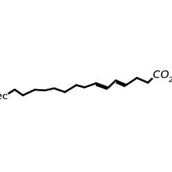 CCCCCCCCCCCCCCCCCC/C=C/C=C/CCC(=O)O